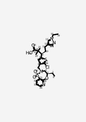 CC[C@@H]1CN(Cc2cc([C@H](CCc3cn(CC)nn3)C(C)(C)C(=O)O)sc2Cl)S(=O)(=O)c2cccnc2O1